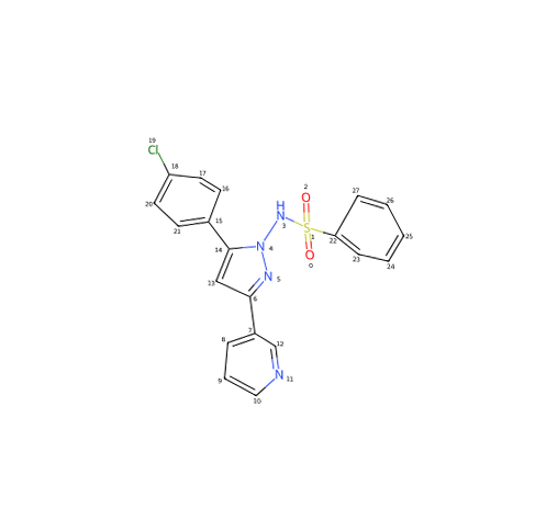 O=S(=O)(Nn1nc(-c2cccnc2)cc1-c1ccc(Cl)cc1)c1ccccc1